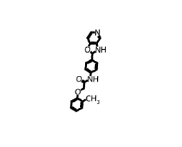 Cc1ccccc1OCC(=O)Nc1ccc(C2Nc3cnccc3O2)cc1